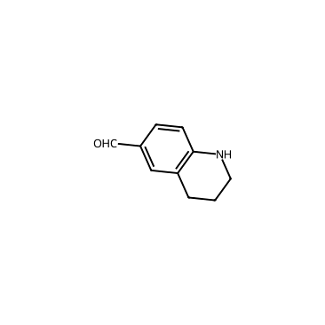 O=Cc1ccc2c(c1)CCCN2